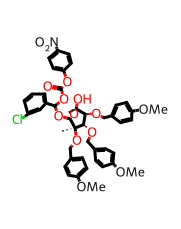 COc1ccc(CO[C@H]([C@@H](C)O)[C@H](OCc2ccc(OC)cc2)[C@@](C)(OCc2ccc(OC)cc2)C(=O)OC(OC(=O)Oc2ccc([N+](=O)[O-])cc2)c2cccc(Cl)c2)cc1